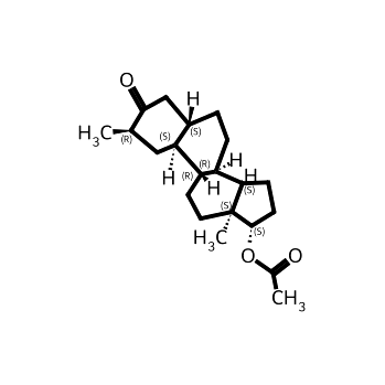 CC(=O)O[C@H]1CC[C@H]2[C@@H]3CC[C@H]4CC(=O)[C@H](C)C[C@@H]4[C@H]3CC[C@]12C